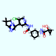 CC1(C)Cc2ncc(-c3cc(NC(=O)[C@H]4CCC[C@@H](NC(=O)C5(O)CC5)C4)ncc3Cl)n2C1